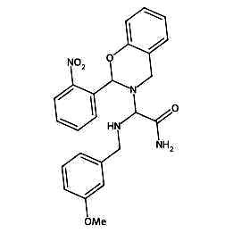 COc1cccc(CNC(C(N)=O)N2Cc3ccccc3OC2c2ccccc2[N+](=O)[O-])c1